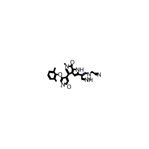 Cc1cccc(C)c1Oc1cn(C)c(=O)cc1-c1cn(C)c(=O)c2[nH]c(/C(C=N)=C/NCC#N)cc12